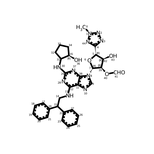 Cn1nnc([C@H]2O[C@@H](n3cnc4c(NCC(c5ccccc5)c5ccccc5)nc(NC5CCC[C@H]5O)nc43)[C@H](OC=O)[C@@H]2O)n1